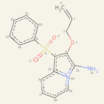 C=CCOc1c(S(=O)(=O)c2ccccc2)c2ccccn2c1N